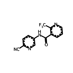 N#Cc1ccc(NC(=O)c2cccnc2C(F)(F)F)cn1